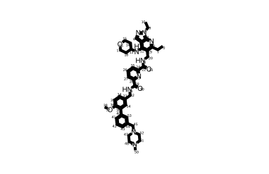 CCc1nc2c(cnn2CC)c(NC2CCOCC2)c1CNC(=O)c1cccc(C(=O)NCc2ccc(OC)c(-c3cccc(CN4CCN(C)CC4)c3)c2)n1